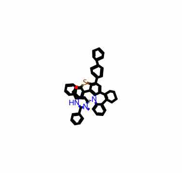 CN1C(c2ccccc2)NC(c2ccccc2)=C[C@@H]1N1c2ccccc2C2=C(CCCC2)c2cc(-c3ccc(-c4ccccc4)cc3)c3sc4ccccc4c3c21